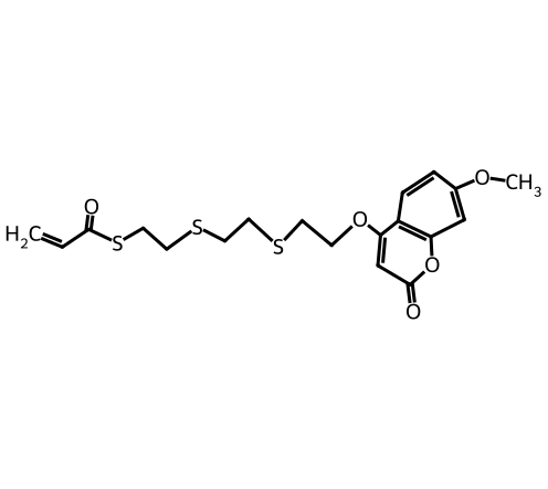 C=CC(=O)SCCSCCSCCOc1cc(=O)oc2cc(OC)ccc12